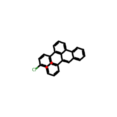 Clc1ccc(-c2cccc3c2c(-c2ccccc2)cc2ccccc23)cc1